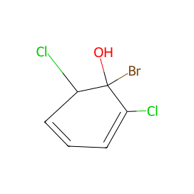 OC1(Br)C(Cl)=CC=CC1Cl